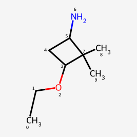 CCOC1CC(N)C1(C)C